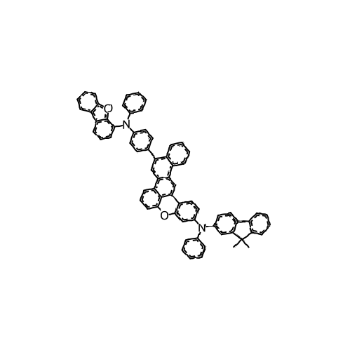 CC1(C)c2ccccc2-c2ccc(N(c3ccccc3)c3ccc4c(c3)Oc3cccc5c3c-4cc3c4ccccc4c(-c4ccc(N(c6ccccc6)c6cccc7c6oc6ccccc67)cc4)cc53)cc21